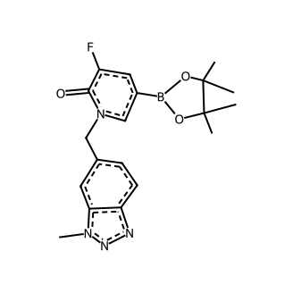 Cn1nnc2ccc(Cn3cc(B4OC(C)(C)C(C)(C)O4)cc(F)c3=O)cc21